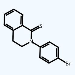 S=C1c2ccccc2CCN1c1ccc(Br)cc1